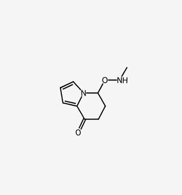 CNOC1CCC(=O)c2cccn21